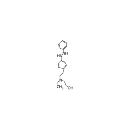 CCN(CCO)CCc1ccc(NNc2ccccc2)cc1